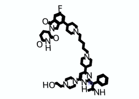 CC(=N)/C(=C1/N=C(C2CCN(CCCCCN3CCC(c4cc(F)cc5c4CN(C4CCC(=O)NC4=O)C5=O)CC3)CC2)C=C(N2CCN(CCO)CC2)N1)c1ccccc1